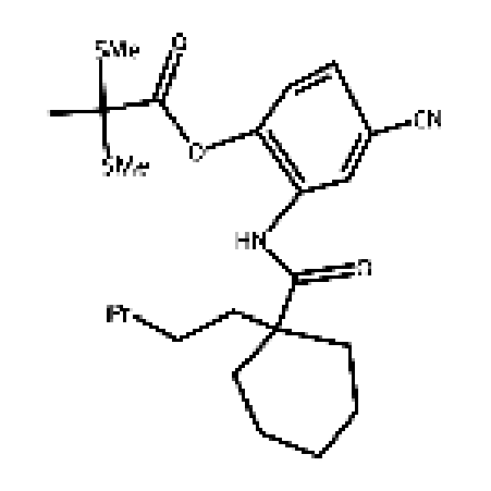 CSC(C)(SC)C(=O)Oc1ccc(C#N)cc1NC(=O)C1(CCC(C)C)CCCCC1